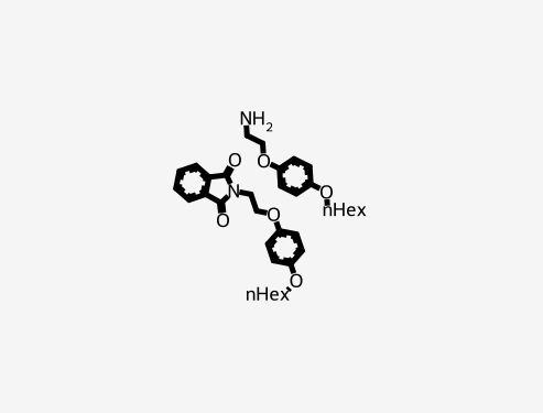 CCCCCCOc1ccc(OCCN)cc1.CCCCCCOc1ccc(OCCN2C(=O)c3ccccc3C2=O)cc1